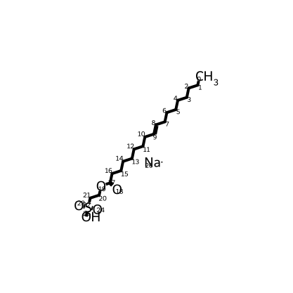 CCCCCCCCC=CCCCCCCCC(=O)OCCS(=O)(=O)O.[Na]